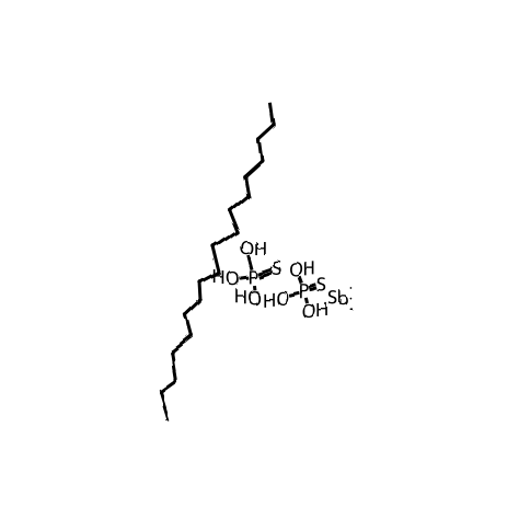 CCCCCCCCCCCCCCCCCC.OP(O)(O)=S.OP(O)(O)=S.[Sb]